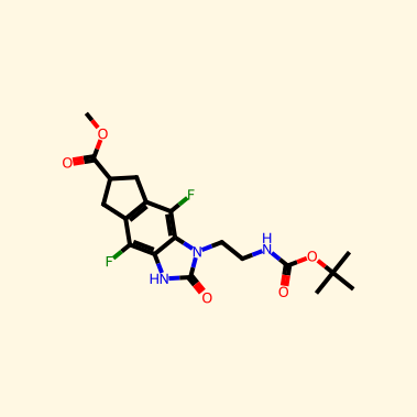 COC(=O)C1Cc2c(c(F)c3c([nH]c(=O)n3CCNC(=O)OC(C)(C)C)c2F)C1